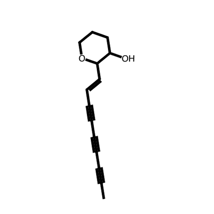 CC#CC#CC#CC=CC1OCCCC1O